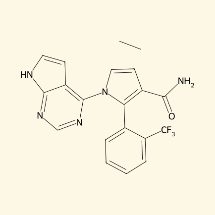 CC.NC(=O)c1ccn(-c2ncnc3[nH]ccc23)c1-c1ccccc1C(F)(F)F